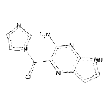 Nc1nc2[nH]ccc2nc1C(=O)n1ccnc1